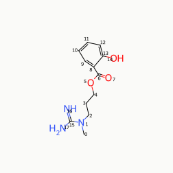 CN(CCCOC(=O)c1ccccc1O)C(=N)N